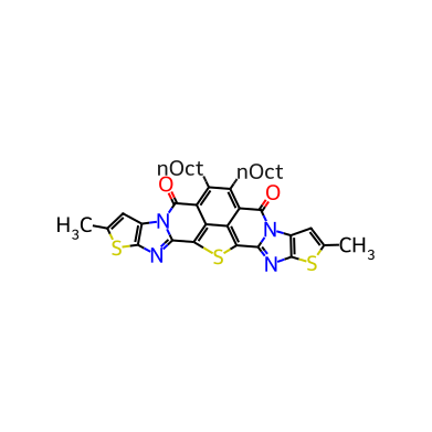 CCCCCCCCc1c(CCCCCCCC)c2c(=O)n3c4cc(C)sc4nc3c3sc4c(c1c(=O)n1c5cc(C)sc5nc41)c23